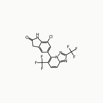 O=C1Cc2cc(-c3c(C(F)(F)F)ccc4nc(C(F)(F)F)nn34)cc(Cl)c2N1